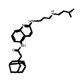 CC(C)CCNCCCNc1ccc2c(NC(=O)CC34CC5CC(CC(C5)C3)C4)cccc2n1